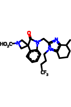 CC1CCCc2c1nc(CN1C(=O)C3(CN(C(=O)O)C3)c3ccccc31)n2CCCC(F)(F)F